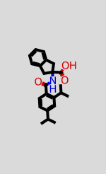 CC(C)c1ccc(C(=O)NC2(C(=O)O)Cc3ccccc3C2)c(C(C)C)c1